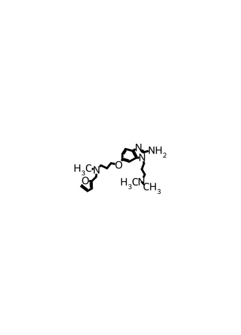 CN(C)CCCn1c(N)nc2ccc(OCCCN(C)Cc3ccco3)cc21